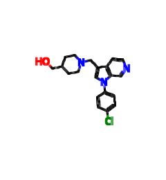 OCC1CCN(Cc2cn(-c3ccc(Cl)cc3)c3cnccc23)CC1